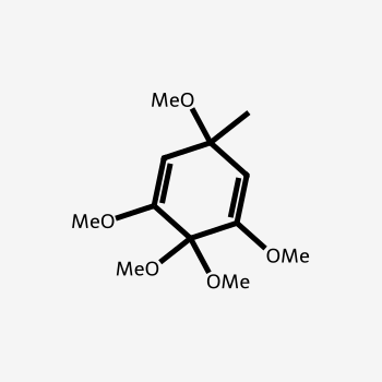 COC1=CC(C)(OC)C=C(OC)C1(OC)OC